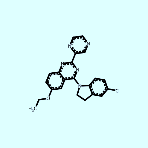 CCOc1ccc2nc(-c3cnccn3)nc(N3CCc4cc(Cl)ccc43)c2c1